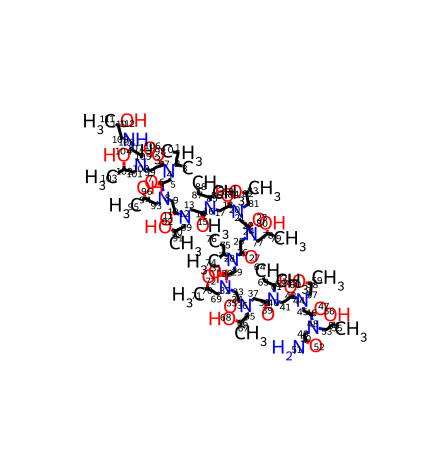 CCC(C)N(CC(=O)N(CC(=O)N(CC(=O)N(CC(=O)N(CC(=O)N(CC(=O)N(CC(=O)N(CC(=O)N(CC(=O)N(CC(=O)N(CC(=O)N(CC(N)=O)CC(C)O)CC(C)O)C(C)CC)CC(C)O)CC(C)O)C(C)CC)CC(C)O)CC(C)O)C(C)CC)CC(C)O)CC(C)O)C(=O)CN(CC(C)O)C(=O)CNCC(C)O